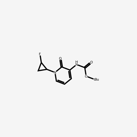 CC(C)(C)OC(=O)Nc1cccn(C2CC2F)c1=O